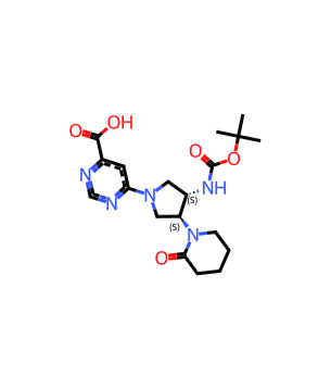 CC(C)(C)OC(=O)N[C@H]1CN(c2cc(C(=O)O)ncn2)C[C@@H]1N1CCCCC1=O